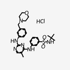 Cc1cnc(Nc2cccc(CN3CCOCC3)c2)nc1Nc1cccc(S(=O)(=O)NC(C)(C)C)c1.Cl